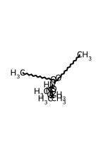 CCCCCCCCCCCCCCOCC(CNC(=O)CN(C)C(=O)OC(C)(C)C)OCCCCCCCCCCCCCC